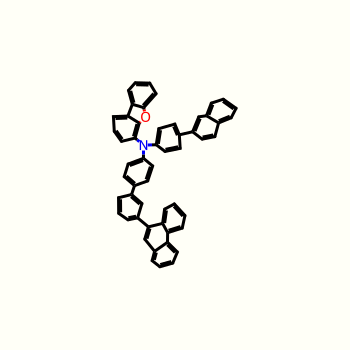 c1cc(-c2ccc(N(c3ccc(-c4ccc5ccccc5c4)cc3)c3cccc4c3oc3ccccc34)cc2)cc(-c2cc3ccccc3c3ccccc23)c1